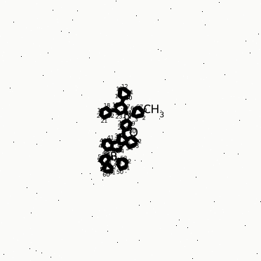 Cc1ccc(N(c2cc(-c3ccccc3)cc(-c3ccccc3)c2)c2ccc3c(c2)Oc2cccc4c2c-3cc2c3ccccc3c(B(c3ccccc3)c3cccc5ccccc35)cc42)cc1